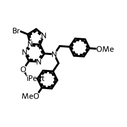 CCC[C@H](C)Oc1nc(N(Cc2ccc(OC)cc2)Cc2ccc(OC)cc2)c2ncc(Br)n2n1